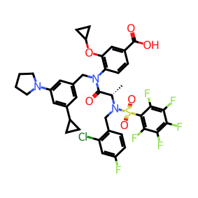 C[C@@H](C(=O)N(Cc1cc(C2CC2)cc(N2CCCC2)c1)c1ccc(C(=O)O)cc1OC1CC1)N(Cc1ccc(F)cc1Cl)S(=O)(=O)c1c(F)c(F)c(F)c(F)c1F